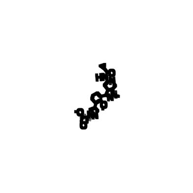 COc1c(-c2cnn([C@H]3COC[C@H]3OC)c2)cccc1-c1nn(C)c2cnc(NC(=O)C3CC3)cc12